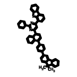 CC1(C)c2ccccc2-c2cc(-c3ccc(-c4ccc(-c5cc(-c6cccc7c6sc6ccccc67)nc(-c6ccccc6)n5)c5ccccc45)cc3)ccc21